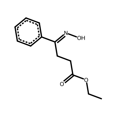 CCOC(=O)CCC(=NO)c1ccccc1